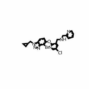 Clc1cnc(Oc2ccc3c(nnn3CC3CC3)c2Br)c(CNCc2ccccn2)c1